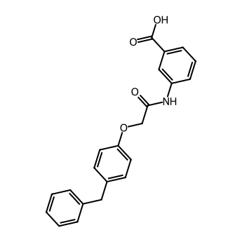 O=C(COc1ccc(Cc2ccccc2)cc1)Nc1cccc(C(=O)O)c1